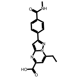 CCc1cc(C(=O)O)nc2cc(-c3ccc(C(=O)NC)cc3)nn12